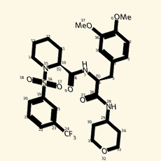 COc1ccc(C[C@H](NC(=O)[C@@H]2CCCCN2S(=O)(=O)c2cccc(C(F)(F)F)c2)C(=O)NC2CCOCC2)cc1OC